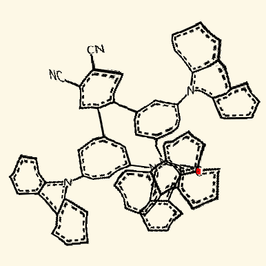 N#Cc1cc(-c2cc(-n3c4ccccc4c4ccccc43)cc(-n3c4ccccc4c4ccccc43)c2)c(-c2cc(-n3c4ccccc4c4ccccc43)cc(-n3c4ccccc4c4ccccc43)c2)cc1C#N